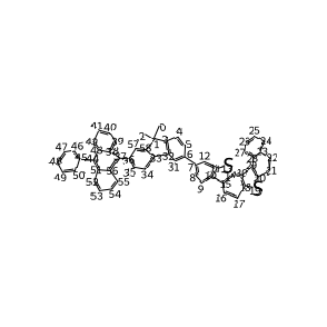 CC1(C)c2ccc(-c3ccc4c(c3)sc3c4ccc4sc5ccc6ccccc6c5c43)cc2-c2ccc(-c3c4ccccc4c(-c4ccccc4)c4ccccc34)cc21